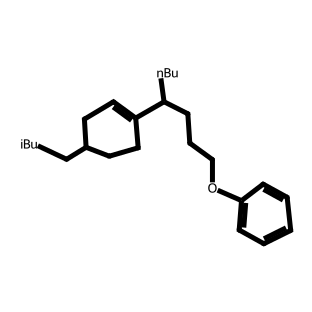 CCCCC(CCCOc1ccccc1)C1=CCC(CC(C)CC)CC1